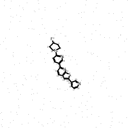 FC1CCN(c2ccc(-c3ccc4cc(-c5cccnc5)sc4n3)cn2)CC1